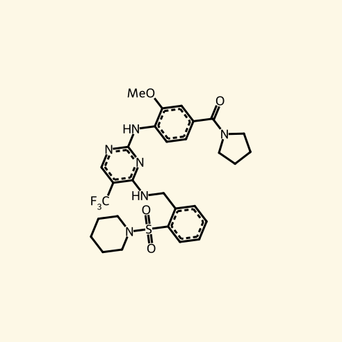 COc1cc(C(=O)N2CCCC2)ccc1Nc1ncc(C(F)(F)F)c(NCc2ccccc2S(=O)(=O)N2CCCCC2)n1